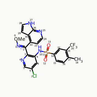 CO/N=C(/c1ncc(Cl)cc1NS(=O)(=O)c1ccc(C)c(C(F)(F)F)c1)c1ccnc2[nH]ccc12